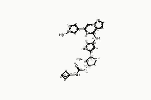 Cn1cc(-c2cn3nccc3c(Nc3cc([C@@H]4OC[C@H](OC(=O)NC56CC(C5)C6)[C@@H]4F)[nH]n3)n2)cn1